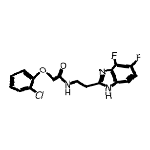 O=C(COc1ccccc1Cl)NCCc1nc2c(F)c(F)ccc2[nH]1